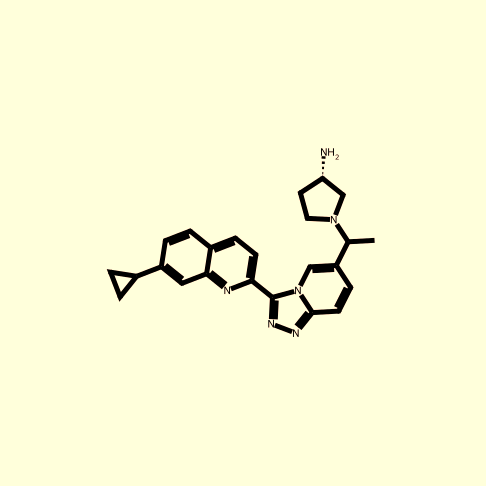 CC(c1ccc2nnc(-c3ccc4ccc(C5CC5)cc4n3)n2c1)N1CC[C@H](N)C1